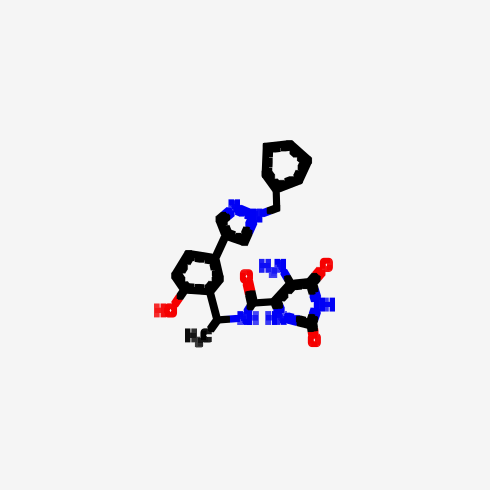 CC(NC(=O)c1[nH]c(=O)[nH]c(=O)c1N)c1cc(-c2cnn(Cc3ccccc3)c2)ccc1O